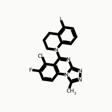 Cc1nnc2nc(N3CCCc4c(I)cccc43)c3c(Cl)c(F)ccc3n12